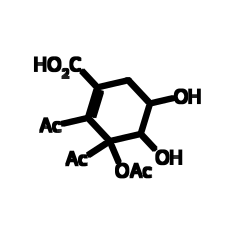 CC(=O)OC1(C(C)=O)C(C(C)=O)=C(C(=O)O)CC(O)C1O